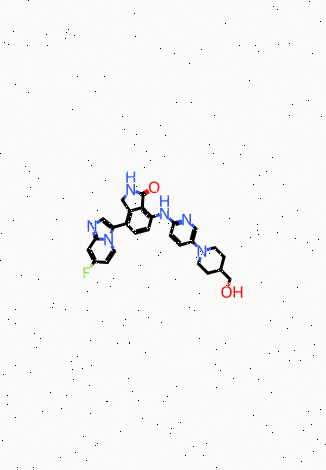 O=C1NCc2c(-c3cnc4cc(F)ccn34)ccc(Nc3ccc(N4CCC(CO)CC4)cn3)c21